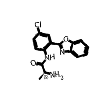 C[C@H](N)C(=O)Nc1ccc(Cl)cc1-c1nc2ccccc2o1